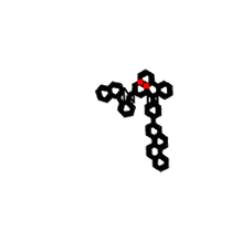 c1ccc(-c2ccccc2N(c2ccc(-c3ccc4c(ccc5c6ccccc6ccc45)c3)cc2)c2cccc(-n3c4ccccc4c4c5ccccc5ccc43)c2)cc1